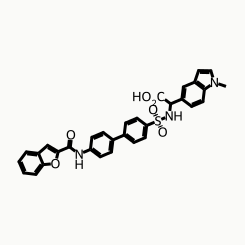 Cn1ccc2cc(C(NS(=O)(=O)c3ccc(-c4ccc(NC(=O)c5cc6ccccc6o5)cc4)cc3)C(=O)O)ccc21